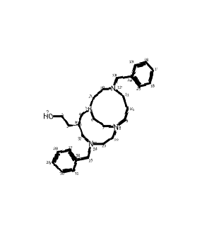 OCC[C@H]1CN2CCN(CCCN(Cc3ccccc3)CC2)CCN(Cc2ccccc2)C1